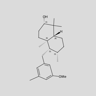 COc1cc(C)cc(C[C@H]2[C@@H](C)CC[C@H]3C(C)(C)[C@@H](O)CC[C@]23C)c1